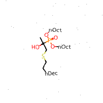 CCCCCCCCCCCCSCC(C)(O)P(=O)(OCCCCCCCC)OCCCCCCCC